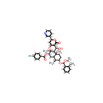 COC(OC1CCC2(C)C(CC(OC(=O)c3ccc(F)cc3)C3(C)Oc4cc(-c5cccnc5)oc(=O)c4C(O)C23)C1C)c1ccccc1C